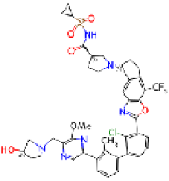 COc1nc(-c2cccc(-c3cccc(-c4nc5cc6c(c(C(F)(F)F)c5o4)CC[C@H]6N4CC[C@@H](C(=O)NS(=O)(=O)C5CC5)C4)c3Cl)c2C)cnc1CN1CC[C@@H](O)C1